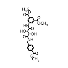 COC(=O)c1ccc(CNC(=O)[C@H](O)[C@@H](O)C(=O)Nc2cc(C(=O)OC)cc(C(=O)OC)c2)cc1